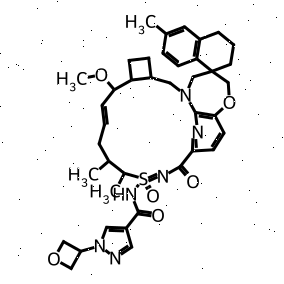 COC1/C=C/CC(C)C(C)S(=O)(NC(=O)c2cnn(C3COC3)c2)=NC(=O)c2ccc3c(n2)N(CC2CCC21)CC1(CCCc2cc(C)ccc21)CO3